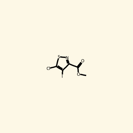 COC(=O)c1nsc(Cl)c1I